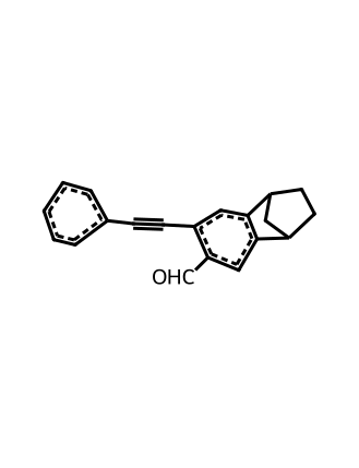 O=Cc1cc2c(cc1C#Cc1ccccc1)C1CCC2C1